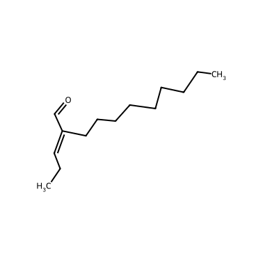 CC/C=C(/C=O)CCCCCCCCC